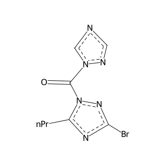 CCCc1nc(Br)nn1C(=O)n1cncn1